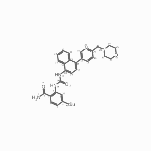 CC(C)(C)c1ccc(C(N)=O)c(NC(=O)Nc2ccc(-c3ccc(CN4CCOCC4)nc3)c3ccccc23)c1